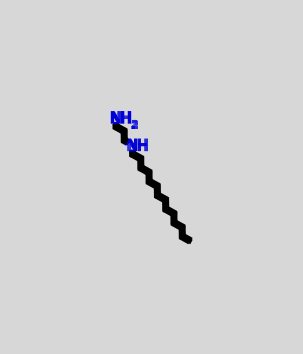 CCCCCCCCCCCCCCNCCCN